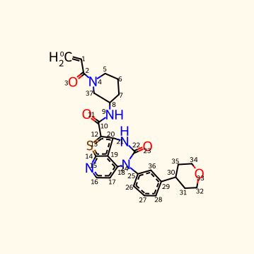 C=CC(=O)N1CCCC(NC(=O)c2sc3nccc4c3c2NC(=O)N4c2cccc(C3CCOCC3)c2)C1